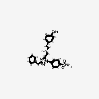 NS(=O)(=O)c1ccc(-n2nc(Cc3ccccc3)nc2CNCCc2ccc(O)cc2)cc1